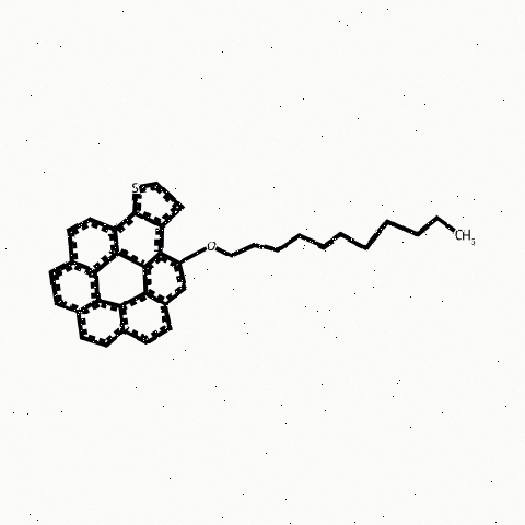 CCCCCCCCCCCOc1cc2ccc3ccc4ccc5ccc6c7sccc7c1c1c2c3c4c5c61